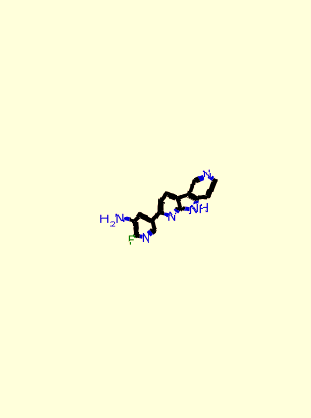 Nc1cc(-c2ccc3c(n2)[nH]c2ccncc23)cnc1F